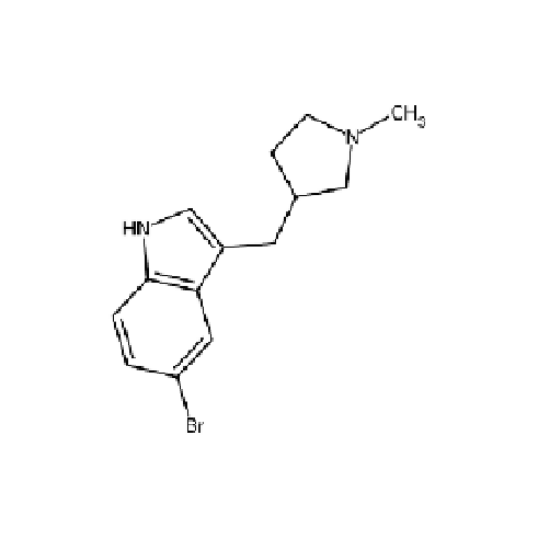 CN1CCC(Cc2c[nH]c3ccc(Br)cc23)C1